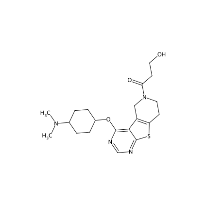 CN(C)C1CCC(Oc2ncnc3sc4c(c23)CN(C(=O)CCO)CC4)CC1